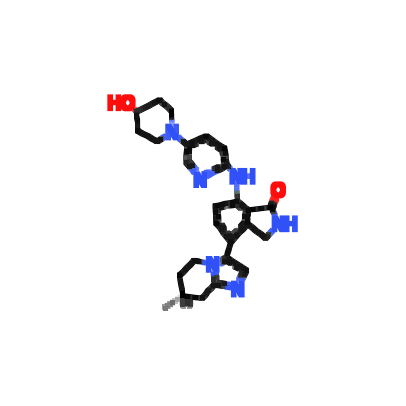 C[C@@H]1CCn2c(-c3ccc(Nc4ccc(N5CCC(O)CC5)cn4)c4c3CNC4=O)cnc2C1